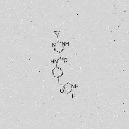 O=C(Nc1ccc(C[C@@]23CN[C@@H](CO2)C3)cc1)C1=CNC(C2CC2)N=C1